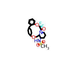 CS(=O)(=O)NC1CCCN2C(=O)C(F)(F)Oc3ccccc3C3CCC(CC3)OCC12